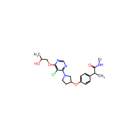 CCNC(=O)C(C)c1ccc(OC2CCN(c3ncnc(OCC(C)O)c3Cl)C2)cc1